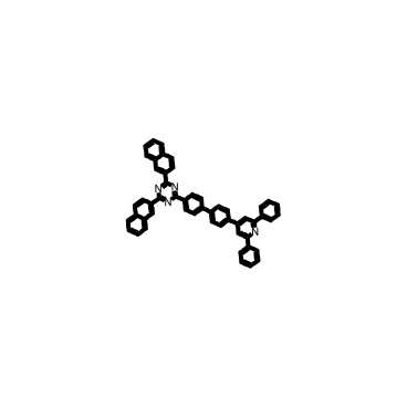 c1ccc(-c2cc(-c3ccc(-c4ccc(-c5nc(-c6ccc7ccccc7c6)nc(-c6ccc7ccccc7c6)n5)cc4)cc3)cc(-c3ccccc3)n2)cc1